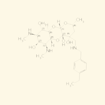 CCc1ccc(CNC[C@]2(O)C[C@@H](C)O[C@H]3O[C@@H]4[C@@H](O)[C@H](NC)[C@H](O)[C@H](NC)[C@H]4O[C@]32O)cc1